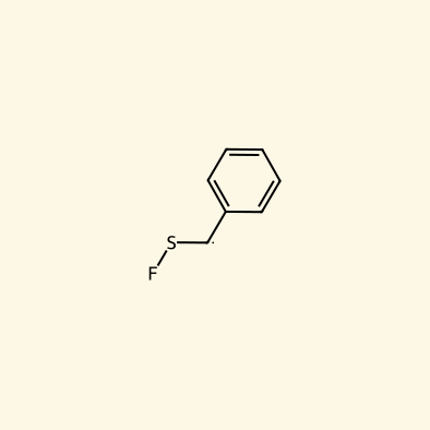 FS[CH]c1ccccc1